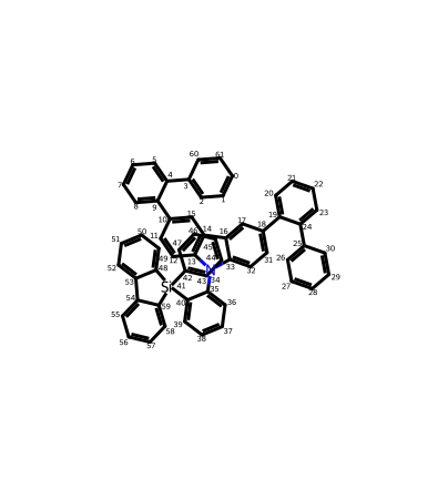 c1ccc(-c2ccccc2-c2ccc3c(c2)c2cc(-c4ccccc4-c4ccccc4)ccc2n3-c2ccccc2[Si]2(c3ccccc3)c3ccccc3-c3ccccc32)cc1